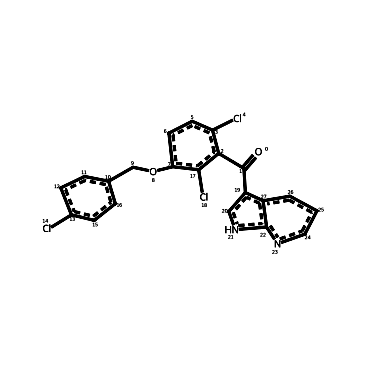 O=C(c1c(Cl)ccc(OCc2ccc(Cl)cc2)c1Cl)c1c[nH]c2ncccc12